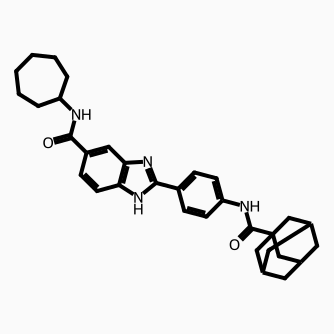 O=C(NC1CCCCCC1)c1ccc2[nH]c(-c3ccc(NC(=O)C45CC6CC(CC(C6)C4)C5)cc3)nc2c1